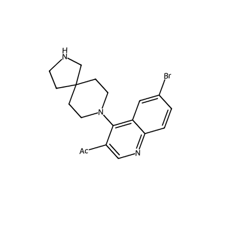 CC(=O)c1cnc2ccc(Br)cc2c1N1CCC2(CCNC2)CC1